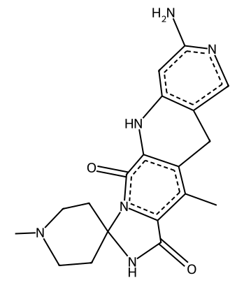 Cc1c2c(c(=O)n3c1C(=O)NC31CCN(C)CC1)Nc1cc(N)ncc1C2